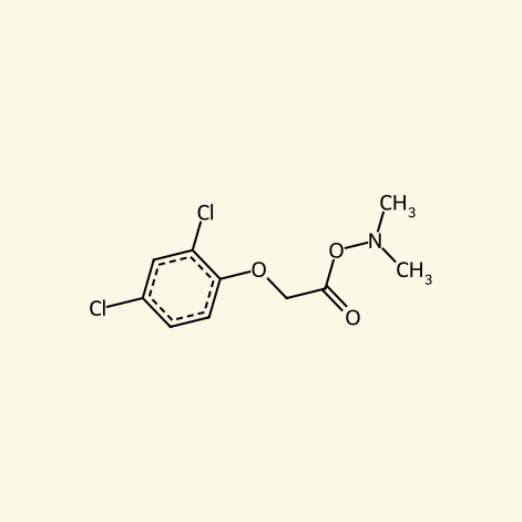 CN(C)OC(=O)COc1ccc(Cl)cc1Cl